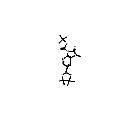 Cn1c(=O)n(C(=O)OC(C)(C)C)c2ncc(B3OC(C)(C)C(C)(C)O3)cc21